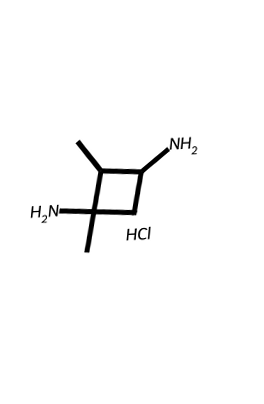 CC1C(N)CC1(C)N.Cl